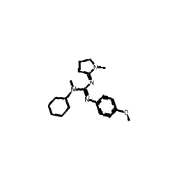 COc1ccc(N=C(N=C2CCCN2C)N(C)C2CCCCC2)cc1